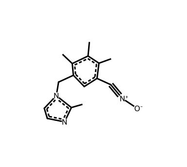 Cc1c(C#[N+][O-])cc(Cn2ccnc2C)c(C)c1C